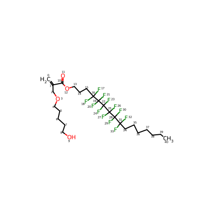 C=C(COCCCCCO)C(=O)OCCCC(F)(F)C(F)(F)C(F)(F)C(F)(F)C(F)(F)C(F)(F)CCCCCCC